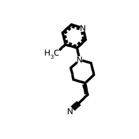 Cc1ccncc1N1CCC(=CC#N)CC1